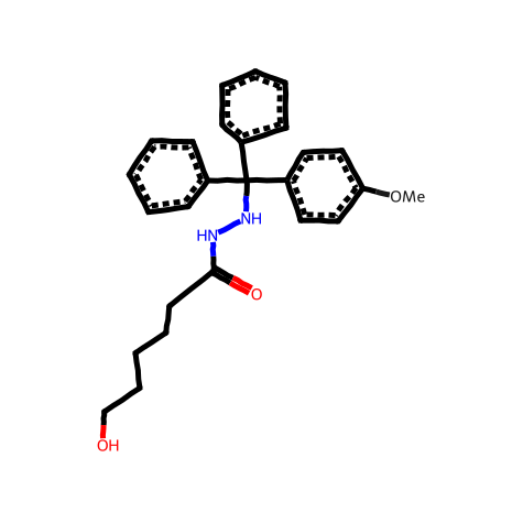 COc1ccc(C(NNC(=O)CCCCCO)(c2ccccc2)c2ccccc2)cc1